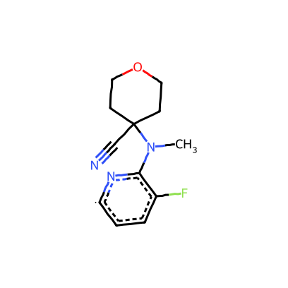 CN(c1n[c]ccc1F)C1(C#N)CCOCC1